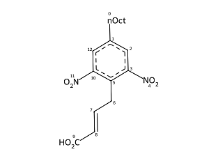 CCCCCCCCc1cc([N+](=O)[O-])c(C/C=C/C(=O)O)c([N+](=O)[O-])c1